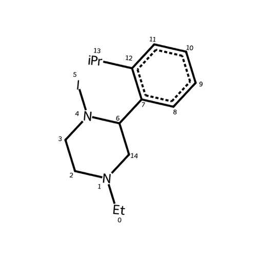 CCN1CCN(I)C(c2ccccc2C(C)C)C1